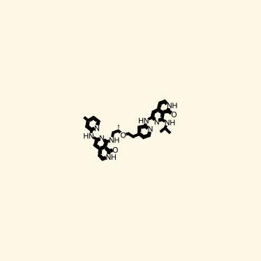 Cc1ccnc(Nc2cc3cc[nH]c(=O)c3c(NC[C@H](C)OCCc3ccnc(Nc4cc5cc[nH]c(=O)c5c(NC(C)C)n4)c3)n2)c1